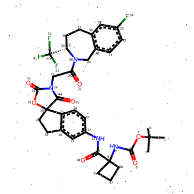 CC(C)(C)OC(=O)NC1(C(=O)Nc2ccc3c(c2)CCC32OC(=O)N(CC(=O)N3Cc4ccc(F)cc4CC[C@H]3C(F)(F)F)C2=O)CCC1